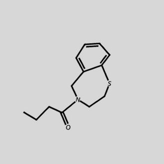 CCCC(=O)N1CCSc2ccccc2C1